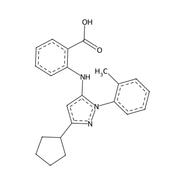 Cc1ccccc1-n1nc(C2CCCC2)cc1Nc1ccccc1C(=O)O